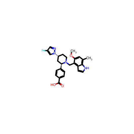 COc1cc(C)c2[nH]ccc2c1CN1CC[C@@H](n2cc(F)cn2)C[C@@H]1c1ccc(C(=O)O)cc1